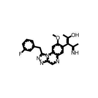 COc1cc2c(cc1/C(C(C)=N)=C(\C)O)ncc1nnc(Cc3cccc(F)c3)n12